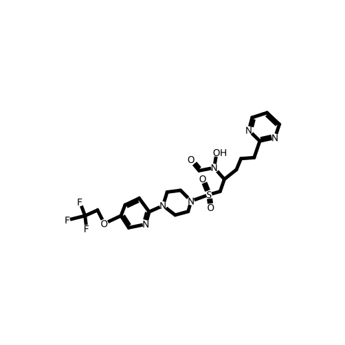 O=CN(O)C(CCCc1ncccn1)CS(=O)(=O)N1CCN(c2ccc(OCC(F)(F)F)cn2)CC1